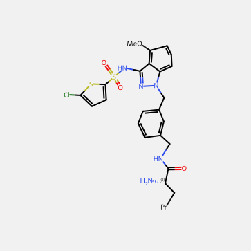 COc1cccc2c1c(NS(=O)(=O)c1ccc(Cl)s1)nn2Cc1cccc(CNC(=O)[C@@H](N)CC(C)C)c1